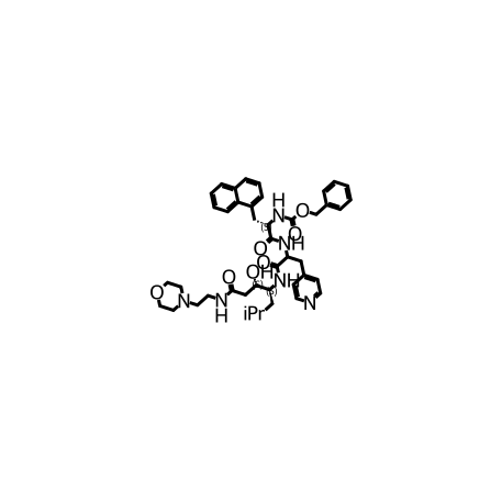 CC(C)C[C@H](NC(=O)C(Cc1ccncc1)NC(=O)[C@H](Cc1cccc2ccccc12)NC(=O)OCc1ccccc1)[C@@H](O)CC(=O)NCCN1CCOCC1